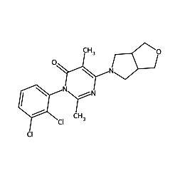 Cc1c(N2CC3COCC3C2)nc(C)n(-c2cccc(Cl)c2Cl)c1=O